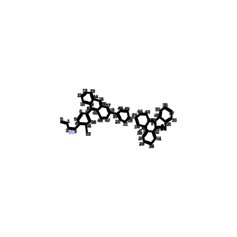 C=C/C=C\c1ccc(-c2c3ccccc3cc3cc(C4=CC[C@@H](C5=C[C@]6(C)c7ccccc7-c7nc8ccccc8n7C6C=C5)C=C4)ccc23)cc1C